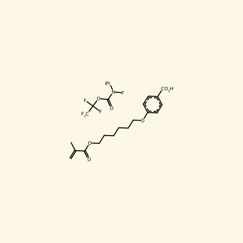 C=C(C)C(=O)OCCCCCCOc1ccc(C(=O)O)cc1.CC(C)N(F)C(=O)OC(F)(F)C(F)(F)F